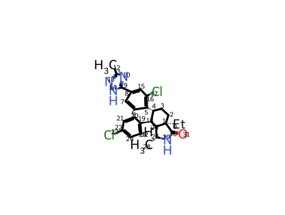 CC[C@@]12CC[C@@H](c3ccc(-c4nc(C)n[nH]4)cc3Cl)[C@H](c3ccc(Cl)cc3)[C@@H]1[C@@H](C)NC2=O